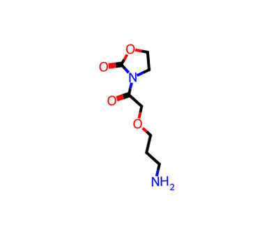 NCCCOCC(=O)N1CCOC1=O